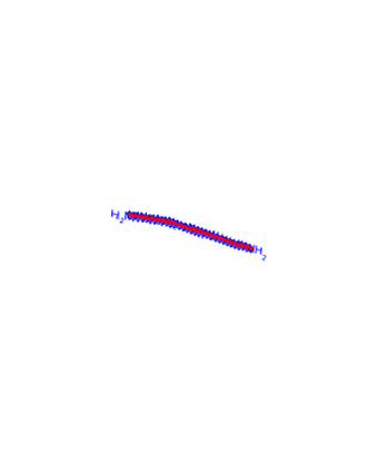 N/N=N/N=N/N=N/N=N/N=N/N=N/N=N/N=N/N=N/N=N/N=N/N=N/N=N/N=N/N=N/N=N/N=N/N=N/N=N/N=N/N=N/N=N/N=N/N=N/N=N/N=N/N=N/N=N/N=N/N=N/N